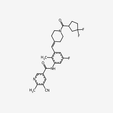 Cc1ncc(C(=O)Nc2cc(F)cc(C=C3CCN(C(=O)C4CCC(F)(F)C4)CC3)c2C)cc1C#N